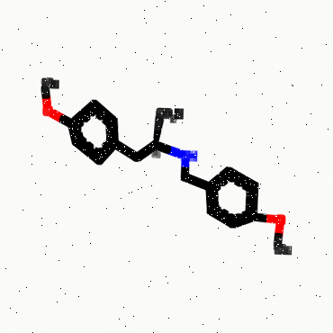 CC(C)(C)Oc1ccc(CN[C@@H](Cc2ccc(OC(C)(C)C)cc2)C(=O)O)cc1